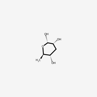 C[C@H]1O[C@H](O)[C@H](O)C[C@@H]1O